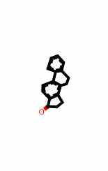 O=C1CCc2c1ccc1c2CCc2ccccc2-1